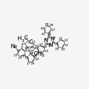 CC1CC2CC(C)C3(c4cc(C#N)ccc4-c4cccc(-c5ccc(-c6nc(-c7ccccc7)nc(-c7ccccc7)n6)cc5)c43)C(C1)C2